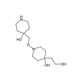 OCCC1(O)CCN(OCC2(O)CCNCC2)CC1